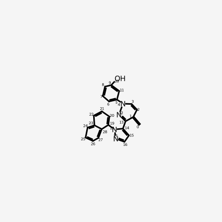 C=C1C=CN(c2cccc(O)c2)N=C1c1ccnn1-c1cccc2ccccc12